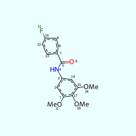 COc1cc(NC(=O)c2ccc(F)cc2)cc(OC)c1OC